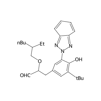 CCCCC(CC)COC(C=O)Cc1cc(-n2nc3ccccc3n2)c(O)c(C(C)(C)C)c1